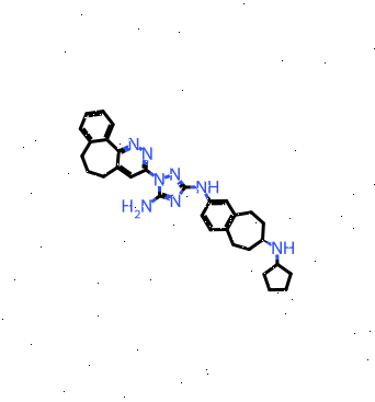 Nc1nc(Nc2ccc3c(c2)CC[C@@H](NC2CCCC2)CC3)nn1-c1cc2c(nn1)-c1ccccc1CCC2